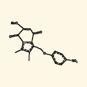 COC1=CC(=O)c2c(COc3ccc([N+](=O)[O-])cc3)c(C)n(C)c2C1=O